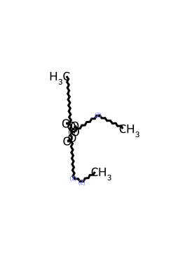 CCCCC/C=C\C/C=C\CCCCCCCCCCCC(=O)OC[C@@H](COC(=O)CCCCCCCCCCCCCCCC)OC(=O)CCCCCCC/C=C\CCCCCCCCC